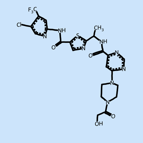 CC(NC(=O)c1cc(N2CCN(C(=O)CO)CC2)ncn1)c1ncc(C(=O)Nc2cc(C(F)(F)F)c(Cl)cn2)s1